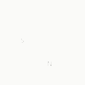 C1=CSC2=C(CCC2)N=1